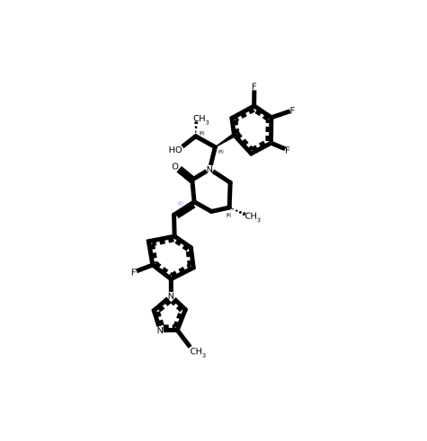 Cc1cn(-c2ccc(/C=C3\C[C@@H](C)CN([C@H](c4cc(F)c(F)c(F)c4)[C@@H](C)O)C3=O)cc2F)cn1